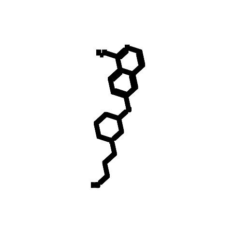 Nc1nccc2cc(OC3CCCN(CCCO)C3)ccc12